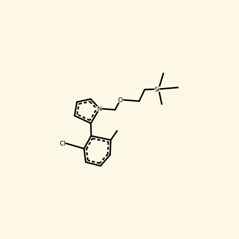 Cc1cccc(Cl)c1-c1cccn1COCC[Si](C)(C)C